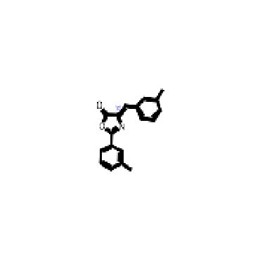 Cc1cccc(/C=C2\N=C(c3cccc(C)c3)OC2=O)c1